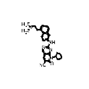 CN(C)CCc1cccc2cc(Nc3ncc4cc(C#N)c(=O)n(C5CCCC5)c4n3)ccc12